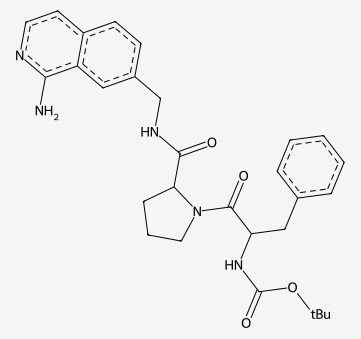 CC(C)(C)OC(=O)NC(Cc1ccccc1)C(=O)N1CCCC1C(=O)NCc1ccc2ccnc(N)c2c1